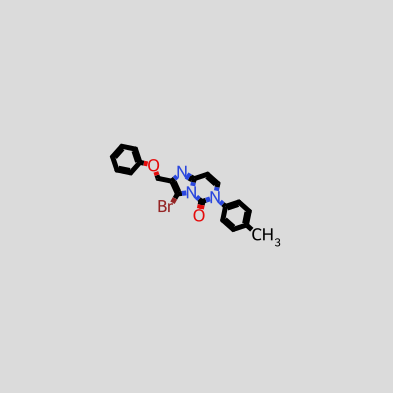 Cc1ccc(-n2ccc3nc(COc4ccccc4)c(Br)n3c2=O)cc1